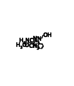 COC(N)C(C)(C)c1nc2ccccc2c2c1ncn2CCO